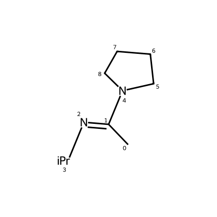 C/C(=N\C(C)C)N1CCCC1